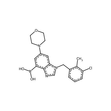 Cc1c(Cl)cccc1Cn1cnc2c(B(O)O)cc(N3CCOCC3)cc21